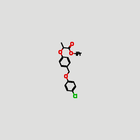 CC(C)OC(=O)C(C)Oc1ccc(COc2ccc(Cl)cc2)cc1